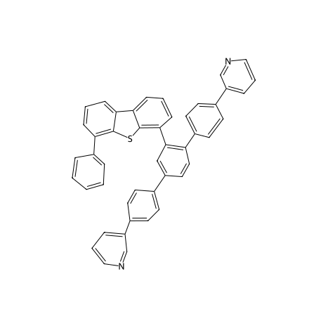 c1ccc(-c2cccc3c2sc2c(-c4cc(-c5ccc(-c6cccnc6)cc5)ccc4-c4ccc(-c5cccnc5)cc4)cccc23)cc1